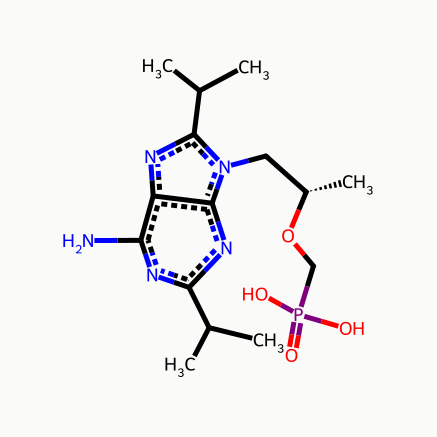 CC(C)c1nc(N)c2nc(C(C)C)n(C[C@H](C)OCP(=O)(O)O)c2n1